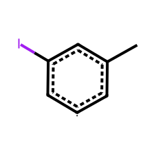 Cc1c[c]cc(I)c1